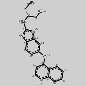 CC(C)C[C@H](CO)Nc1nc2ccc(Oc3ccnc4ccccc34)cc2s1